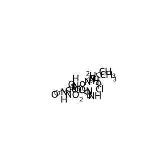 [2H]C([2H])(C1=C(c2ccc(Cl)cc2)CC(C)(C)CC1)N1CCN(c2ccc(C(=O)NS(=O)(=O)c3ccc(NCC4CCOCC4)c([N+](=O)[O-])c3)c(Oc3cnc4[nH]ccc4c3)c2)CC1